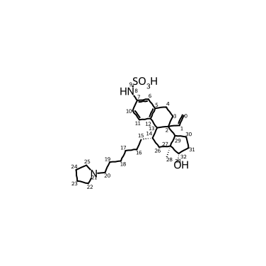 C=CC12CCc3cc(NS(=O)(=O)O)ccc3C1[C@@H](CCCCCCN1CCCC1)C[C@@]1(C)C2CC[C@@H]1O